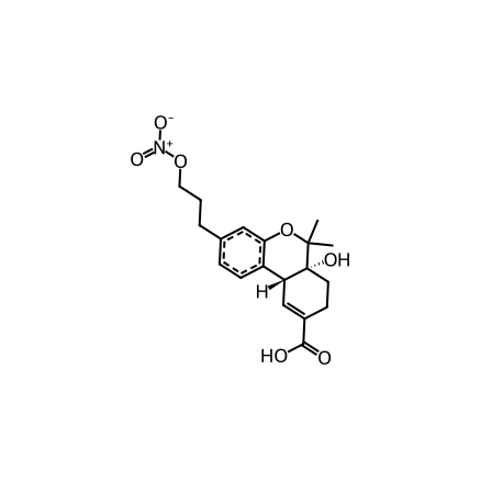 CC1(C)Oc2cc(CCCO[N+](=O)[O-])ccc2[C@H]2C=C(C(=O)O)CC[C@@]21O